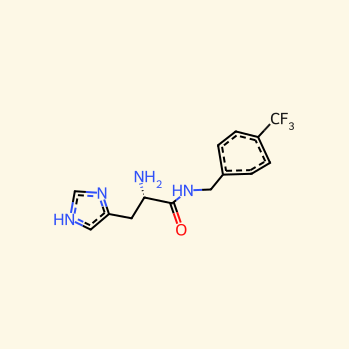 N[C@@H](Cc1c[nH]cn1)C(=O)NCc1ccc(C(F)(F)F)cc1